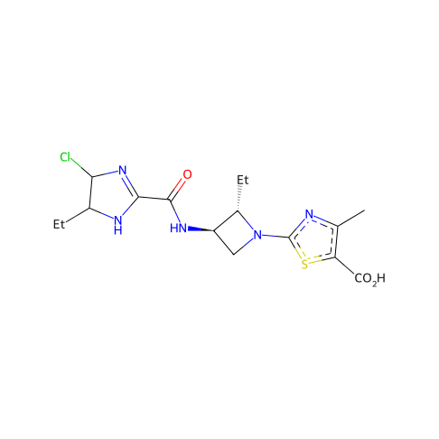 CCC1NC(C(=O)N[C@@H]2CN(c3nc(C)c(C(=O)O)s3)[C@H]2CC)=NC1Cl